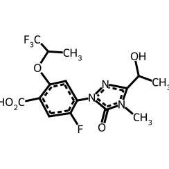 CC(O)c1nn(-c2cc(OC(C)C(F)(F)F)c(C(=O)O)cc2F)c(=O)n1C